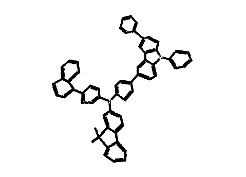 CC1(C)c2ccccc2-c2ccc(N(c3ccc(-c4ccc5c(c4)c4cc(-c6ccccc6)ccc4n5-c4ccccc4)cc3)c3ccc(-c4cccc5ccccc45)cc3)cc21